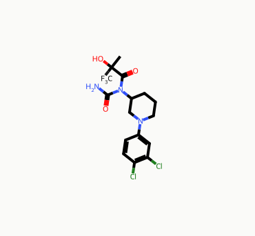 CC(O)(C(=O)N(C(N)=O)C1CCCN(c2ccc(Cl)c(Cl)c2)C1)C(F)(F)F